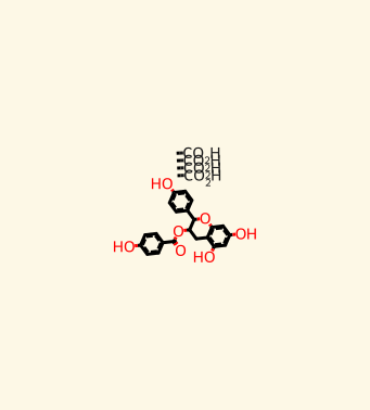 CC(=O)O.CC(=O)O.CC(=O)O.CC(=O)O.O=C(OC1Cc2c(O)cc(O)cc2OC1c1ccc(O)cc1)c1ccc(O)cc1